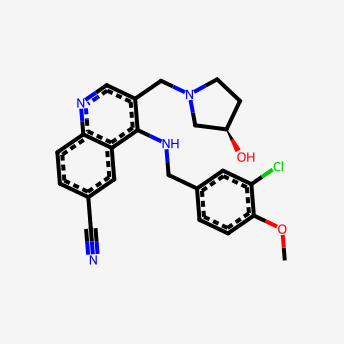 COc1ccc(CNc2c(CN3CC[C@@H](O)C3)cnc3ccc(C#N)cc23)cc1Cl